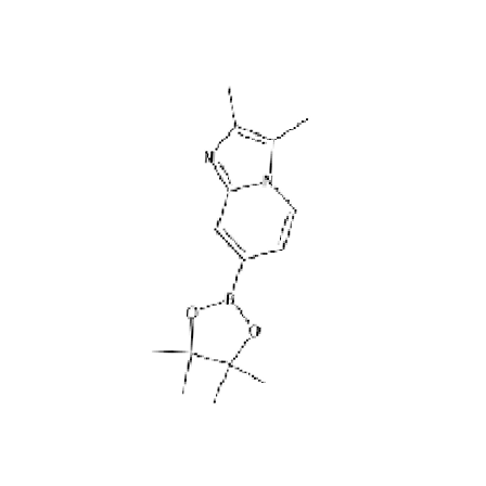 Cc1nc2cc(B3OC(C)(C)C(C)(C)O3)ccn2c1C